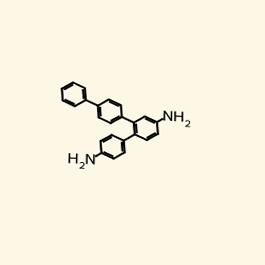 Nc1ccc(-c2ccc(N)cc2-c2ccc(-c3ccccc3)cc2)cc1